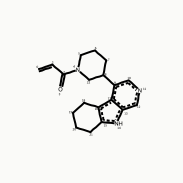 C=CC(=O)N1CCCC(c2cncc3[nH]c4c(c23)CCCC4)C1